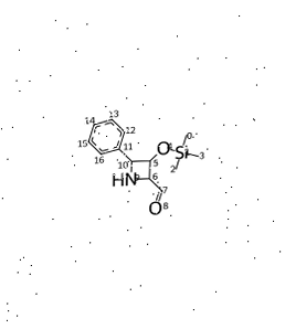 C[Si](C)(C)OC1C(C=O)NC1c1ccccc1